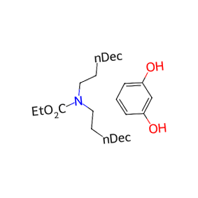 CCCCCCCCCCCCN(CCCCCCCCCCCC)C(=O)OCC.Oc1cccc(O)c1